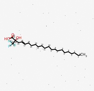 CCCCCCCCCCCCCCCCC/C=C/CC(O)(C(=O)O)C(F)(F)F